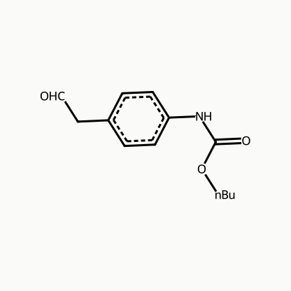 CCCCOC(=O)Nc1ccc(CC=O)cc1